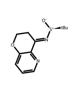 CC(C)(C)[S@+]([O-])N=C1CCOc2cccnc21